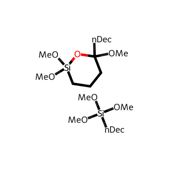 CCCCCCCCCCC1(OC)CCC[Si](OC)(OC)O1.CCCCCCCCCC[Si](OC)(OC)OC